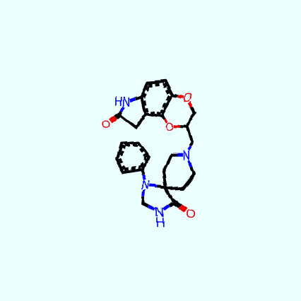 O=C1Cc2c(ccc3c2OC(CN2CCC4(CC2)C(=O)NCN4c2ccccc2)CO3)N1